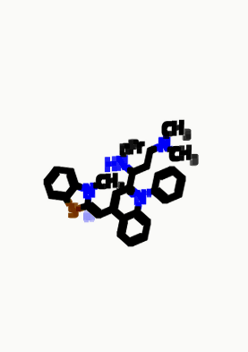 CCCNC(CCN(C)C)c1cc(/C=C2/Sc3ccccc3N2C)c2ccccc2[n+]1-c1ccccc1